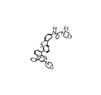 CC[C@@H]1COCCN1CC(=O)Nc1ccc2sc3c(-c4cccn5c(=O)cc(N6CCOCC6)nc45)cccc3c2c1